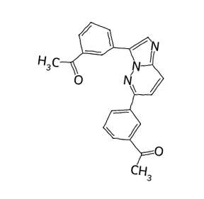 CC(=O)c1cccc(-c2ccc3ncc(-c4cccc(C(C)=O)c4)n3n2)c1